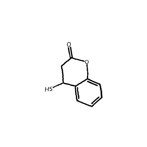 O=C1CC(S)c2ccccc2O1